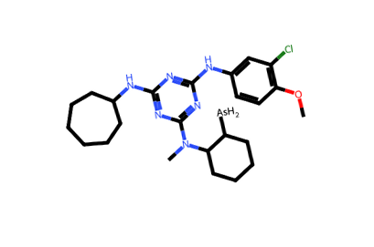 COc1ccc(Nc2nc(NC3CCCCCC3)nc(N(C)C3CCCCC3[AsH2])n2)cc1Cl